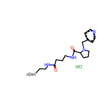 CCCCCCCCCCCCNC(=O)CCCNC(=O)C1CCCN1Cc1ccncc1.Cl